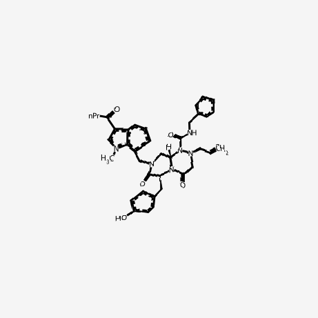 C=CCN1CC(=O)N2[C@@H](Cc3ccc(O)cc3)C(=O)N(Cc3cccc4c(C(=O)CCC)cn(C)c34)C[C@@H]2N1C(=O)NCc1ccccc1